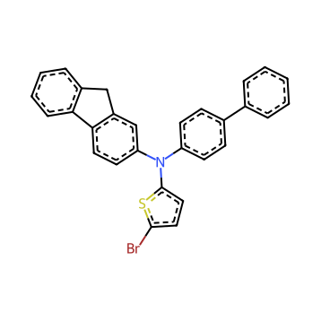 Brc1ccc(N(c2ccc(-c3ccccc3)cc2)c2ccc3c(c2)Cc2ccccc2-3)s1